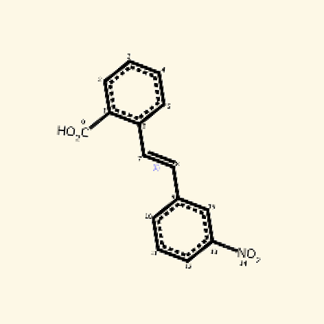 O=C(O)c1ccccc1/C=C/c1cccc([N+](=O)[O-])c1